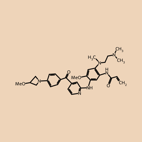 C=CC(=O)Nc1cc(Nc2cc(C(=O)c3ccc(N4CC(OC)C4)cc3)ccn2)c(OC)cc1N(C)CCN(C)C